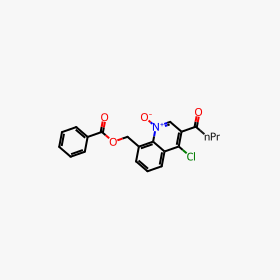 CCCC(=O)c1c[n+]([O-])c2c(COC(=O)c3ccccc3)cccc2c1Cl